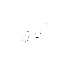 Nc1ccn2ncc(-c3cccc(C4CCCNC4)n3)c2c1